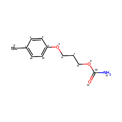 CC(C)(C)c1ccc(OCCCOC(N)=O)cc1